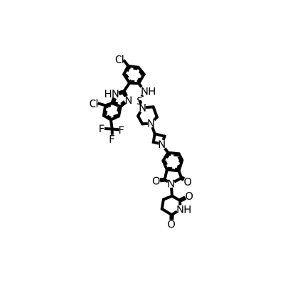 O=C1CCC(N2C(=O)c3ccc(N4CC(N5CCN(SNc6ccc(Cl)cc6-c6nc7cc(C(F)(F)F)cc(Cl)c7[nH]6)CC5)C4)cc3C2=O)C(=O)N1